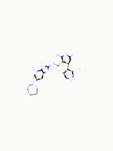 COc1cncc(F)c1-c1cc(C)nc(Cl)c1C(=O)Nc1nc2ncc(N3CCC(O)CC3)cc2s1